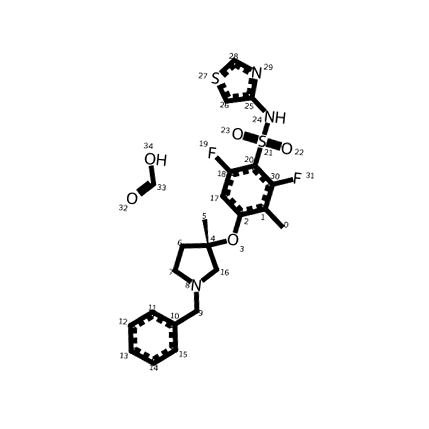 Cc1c(O[C@@]2(C)CCN(Cc3ccccc3)C2)cc(F)c(S(=O)(=O)Nc2cscn2)c1F.O=CO